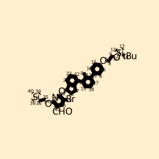 Cc1c(-c2ccc(OCCO[Si](C)(C)C(C)(C)C)cc2)cccc1-c1cccc2c1CCC2Oc1nc(OCC[Si](C)(C)C)c(C=O)cc1Br